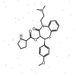 COc1ccc([C@@H]2Sc3ccccc3N(CCN(C)C)C(=O)[C@@H]2OC(=O)C2CCCN2)cc1